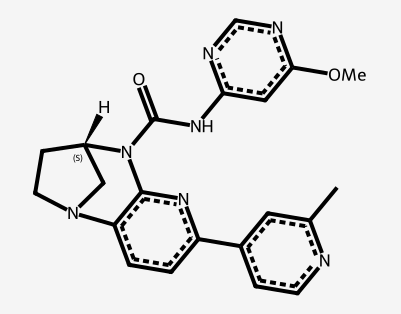 COc1cc(NC(=O)N2c3nc(-c4ccnc(C)c4)ccc3N3CC[C@H]2C3)ncn1